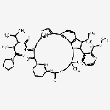 CCn1c(-c2cccnc2[C@H](C)OC)c2c3cc(ccc31)-c1csc(n1)C[C@H](NC(=O)C(C(C)C)N(C)C(=O)N1CCCC1)C(=O)N1CCC[C@H](N1)C(=O)OCC(C)(C)C2